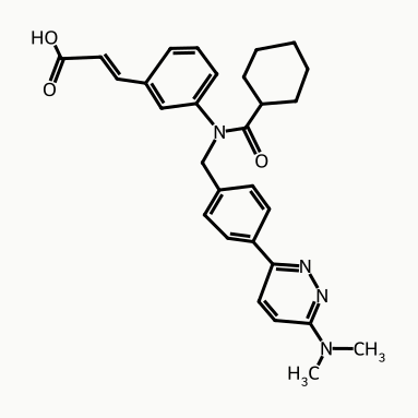 CN(C)c1ccc(-c2ccc(CN(C(=O)C3CCCCC3)c3cccc(C=CC(=O)O)c3)cc2)nn1